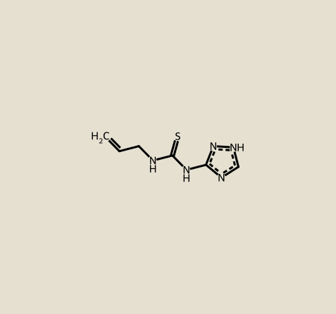 C=CCNC(=S)Nc1nc[nH]n1